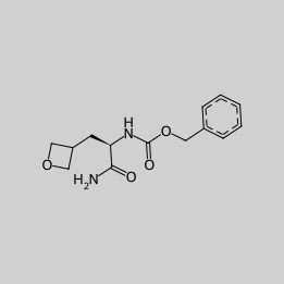 NC(=O)[C@@H](CC1COC1)NC(=O)OCc1ccccc1